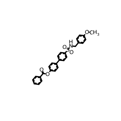 COc1ccc(CNS(=O)(=O)c2ccc(-c3ccc(OC(=O)c4ccccc4)cc3)cc2)cc1